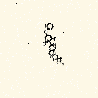 [O-][n+]1cc(Oc2ccccn2)cc(F)c1-c1cc2cnn(CC(F)(F)C(F)(F)F)c2cn1